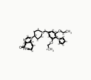 CCOc1cc(CN2CCC(n3cnc4c(=O)[nH]ccc43)CC2)cc(OCC)c1-n1cccc1